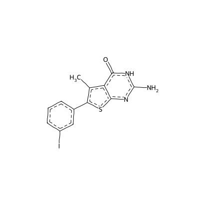 Cc1c(-c2cccc(I)c2)sc2nc(N)[nH]c(=O)c12